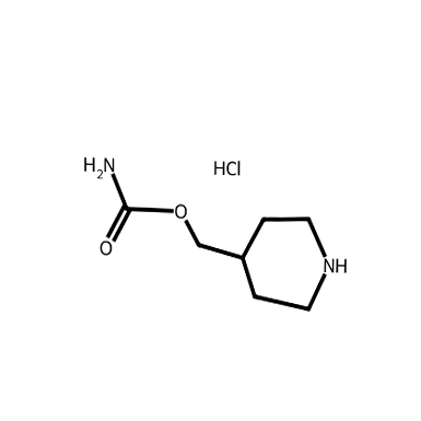 Cl.NC(=O)OCC1CCNCC1